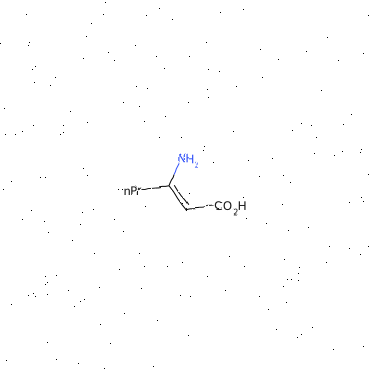 CCCC(N)=CC(=O)O